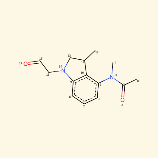 CC(=O)N(C)c1cccc2c1C(C)CN2CC=O